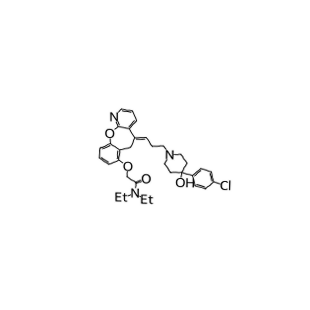 CCN(CC)C(=O)COc1cccc2c1CC(=CCCN1CCC(O)(c3ccc(Cl)cc3)CC1)c1cccnc1O2